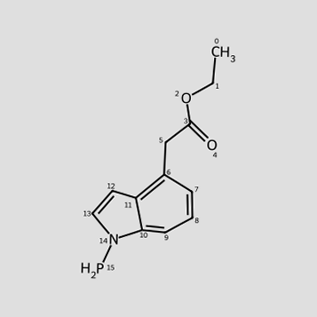 CCOC(=O)Cc1cccc2c1ccn2P